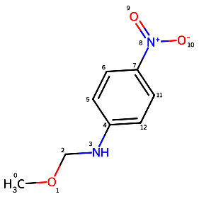 COCNc1ccc([N+](=O)[O-])cc1